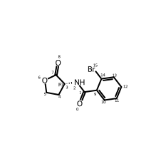 O=C(N[C@@H]1CCOC1=O)c1ccccc1Br